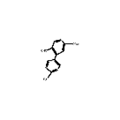 COc1cc(-c2cnc(C(F)(F)F)nc2)c(C=O)cn1